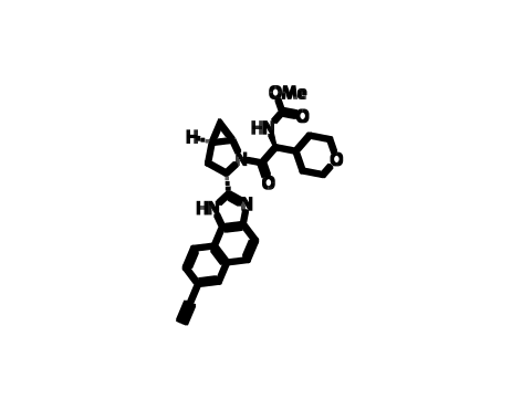 C#Cc1ccc2c(ccc3nc([C@@H]4C[C@H]5CC5N4C(=O)[C@@H](NC(=O)OC)C4CCOCC4)[nH]c32)c1